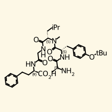 CC(C)C[C@@H](C(=O)NCC(=O)N[C@H](CCc1ccccc1)C(=O)O)N(C)C(=O)[C@H](Cc1ccc(OC(C)(C)C)cc1)NC(=O)[C@H](C)N